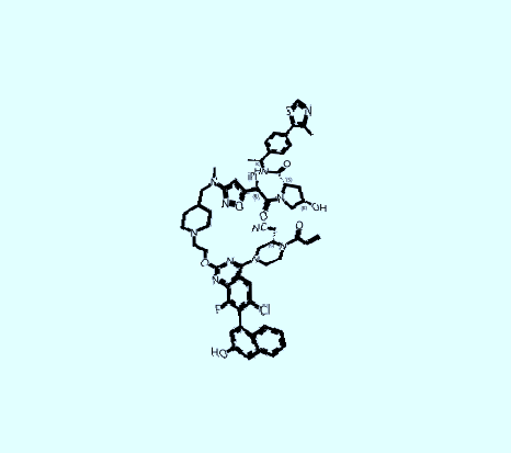 C=CC(=O)N1CCN(c2nc(OCCN3CCC(CN(C)c4cc([C@H](C(=O)N5C[C@H](O)C[C@H]5C(=O)N[C@@H](C)c5ccc(-c6scnc6C)cc5)C(C)C)on4)CC3)nc3c(F)c(-c4cc(O)cc5ccccc45)c(Cl)cc23)C[C@@H]1CC#N